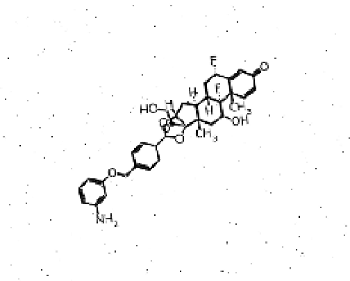 C[C@]12C=CC(=O)C=C1[C@@H](F)C[C@H]1[C@@H]3C[C@H]4O[C@H](C5C=CC(COc6cccc(N)c6)=CC5)O[C@@]4(C(=O)CO)[C@@]3(C)C[C@H](O)[C@@]12F